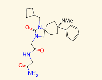 CN[C@]1(c2ccccc2)CC[C@]2(CC1)CN(CC(=O)NCC(N)=O)C(=O)N2CC1CCC1